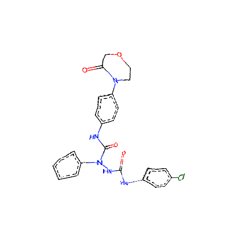 O=C(Nc1ccc(Cl)cc1)NN(C(=O)Nc1ccc(N2CCOCC2=O)cc1)c1ccccc1